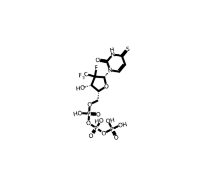 O=c1[nH]c(=S)ccn1[C@@H]1O[C@H](COP(=O)(O)OP(=O)(O)OP(=O)(O)O)[C@H](O)C1(F)C(F)(F)F